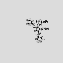 CCCC(O)COC1C(OCc2ccccc2)CC(OCc2ccccc2)C1NC